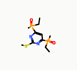 CCP(C)(=O)c1cc(P(C)(=O)CC)nc(SC)n1